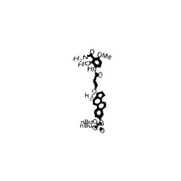 CCCCOP(=O)(OCCCC)Oc1ccc2c(c1)CCC1C2CCC2(C)C1CC[C@H]2OCCC(=O)Nc1ccc(OC)c(C(N)=O)c1O